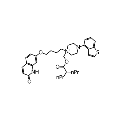 CCCC(CCC)C(=O)OC[N+]1(CCCCOc2ccc3ccc(=O)[nH]c3c2)CCN(c2cccc3sccc23)CC1